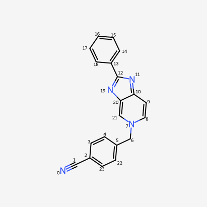 N#Cc1ccc(Cn2ccc3nc(-c4ccccc4)nc-3c2)cc1